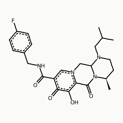 CC(C)CN1CC[C@@H](C)N2C(=O)c3c(O)c(=O)c(C(=O)NCc4ccc(F)cc4)cn3CC12